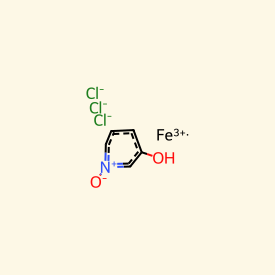 [Cl-].[Cl-].[Cl-].[Fe+3].[O-][n+]1cccc(O)c1